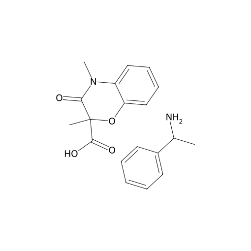 CC(N)c1ccccc1.CN1C(=O)C(C)(C(=O)O)Oc2ccccc21